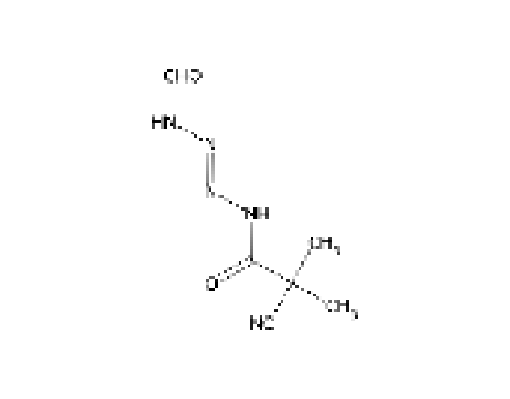 CC(C)(C#N)C(=O)NN=NNC=O